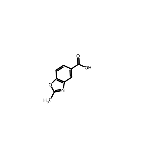 Cc1nc2cc(C(=O)O)ccc2o1